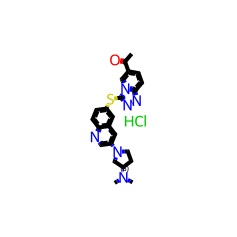 CC(=O)c1ccc2nnc(Sc3ccc4ncc(N5CC[C@H](N(C)C)C5)cc4c3)n2c1.Cl